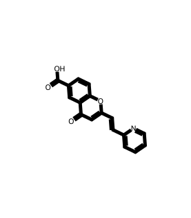 O=C(O)c1ccc2oc(C=Cc3ccccn3)cc(=O)c2c1